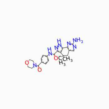 CC1(C)Cc2cnc(N)nc2-c2[nH]nc(C(=O)Nc3ccc(C(=O)N4CCOCC4)cc3)c21